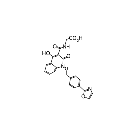 O=C(O)CNC(=O)c1c(O)c2ccccc2n(OCc2ccc(-c3ncco3)cc2)c1=O